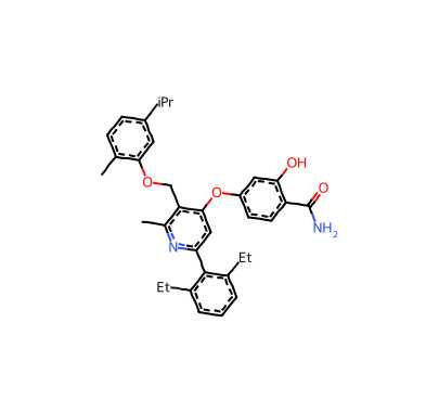 CCc1cccc(CC)c1-c1cc(Oc2ccc(C(N)=O)c(O)c2)c(COc2cc(C(C)C)ccc2C)c(C)n1